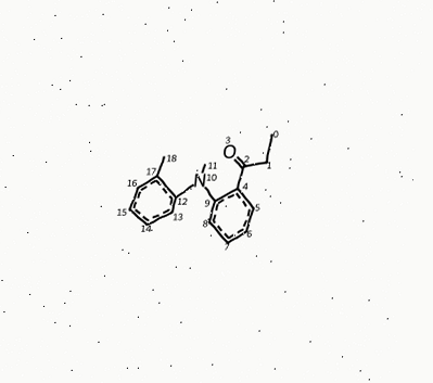 CCC(=O)c1ccccc1N(C)c1ccccc1C